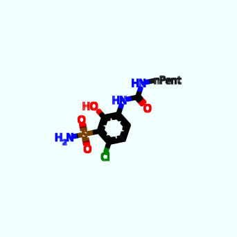 CCCCCNC(=O)Nc1ccc(Cl)c(S(N)(=O)=O)c1O